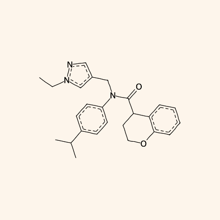 CCn1cc(CN(C(=O)C2CCOc3ccccc32)c2ccc(C(C)C)cc2)cn1